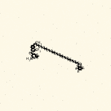 CN(CCOCCOCCOCCOCCOCCOCCOCCOCCOCCOCCC(=O)Oc1c(F)c(F)cc(F)c1F)Cc1ccc(CN(CCC(F)(F)F)C(=O)C2=Cc3sccc3N=C(N)C2)cc1